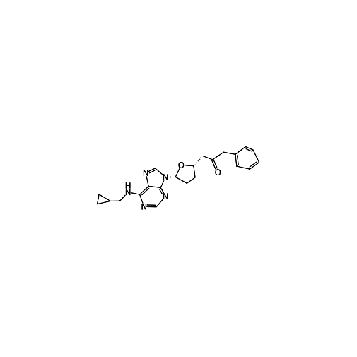 O=C(Cc1ccccc1)C[C@@H]1CC[C@H](n2cnc3c(NCC4CC4)ncnc32)O1